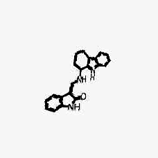 O=C1Nc2ccccc2C1=CNC1CCCc2c1[nH]c1ccccc21